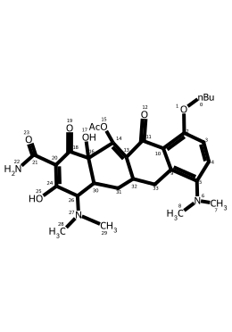 CCCCOc1ccc(N(C)C)c2c1C(=O)C1=C(OC(C)=O)C3(O)C(=O)C(C(N)=O)=C(O)C(N(C)C)C3CC1C2